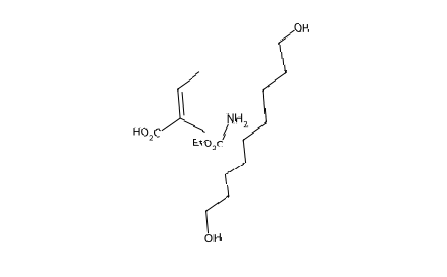 CC=C(C)C(=O)O.CCOC(N)=O.OCCCCCCCCCO